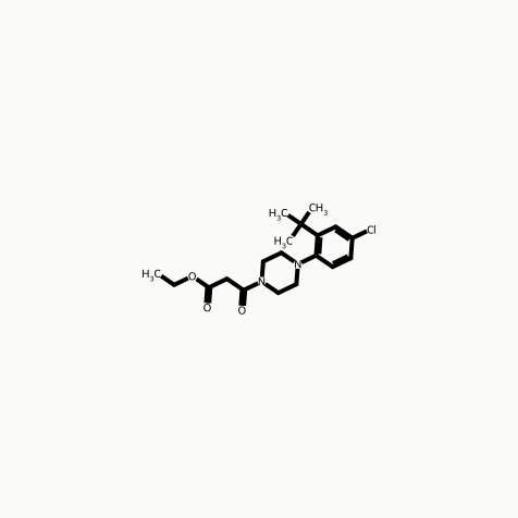 CCOC(=O)CC(=O)N1CCN(c2ccc(Cl)cc2C(C)(C)C)CC1